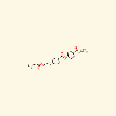 C=CC(=O)OCCCC1CCC(C(=O)Oc2ccc(C(=O)C=C)cc2)CC1